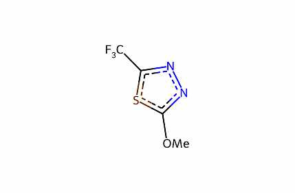 COc1nnc(C(F)(F)F)s1